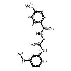 COc1ccc(C(=O)NCC(=O)Nc2cc(OC(C)C)ccn2)nc1